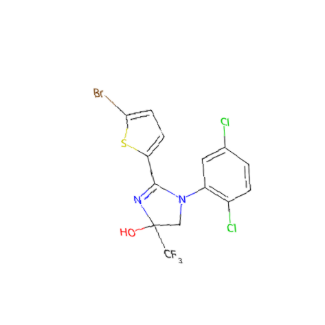 OC1(C(F)(F)F)CN(c2cc(Cl)ccc2Cl)C(c2ccc(Br)s2)=N1